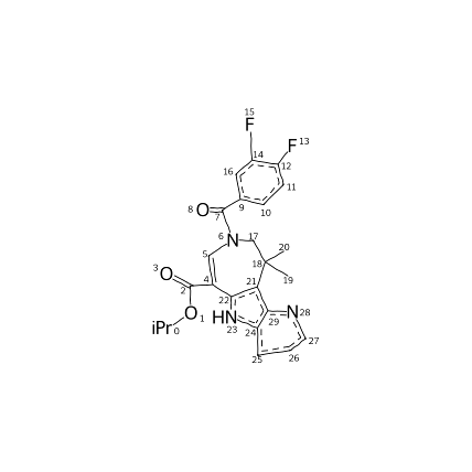 CC(C)OC(=O)C1=CN(C(=O)c2ccc(F)c(F)c2)CC(C)(C)c2c1[nH]c1cccnc21